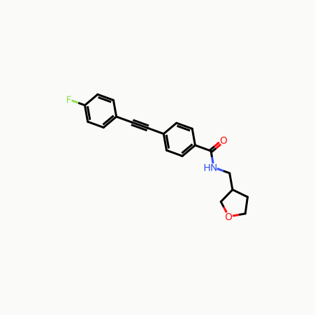 O=C(NCC1CCOC1)c1ccc(C#Cc2ccc(F)cc2)cc1